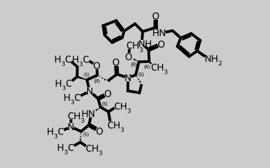 CCC(C)[C@@H]([C@@H](CC(=O)N1CCC[C@H]1[C@H](OC)[C@@H](C)C(=O)NC(Cc1ccccc1)C(=O)NCc1ccc(N)cc1)OC)N(C)C(=O)[C@@H](NC(=O)[C@H](C(C)C)N(C)C)C(C)C